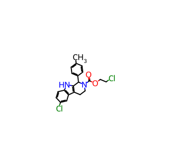 Cc1ccc(C2c3[nH]c4ccc(Cl)cc4c3CCN2C(=O)OCCCl)cc1